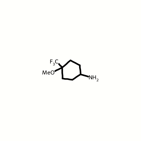 COC1(C(F)(F)F)CCC(N)CC1